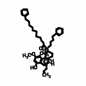 C=CCN1CC[C@]23c4c5c(O)cc(OC)c4O[C@H]2[C@@H](N(CCCCc2ccccc2)C(=O)CCCCCCCCCCc2ccccc2)CC[C@H]3[C@H]1C5